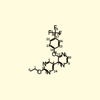 CCOc1ncc(-c2nccnc2Oc2ccc(C(F)(F)F)cc2)cn1